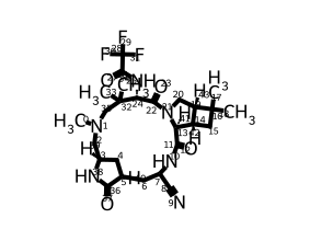 CN1C[C@@H]2C[C@@H](CC(C#N)NC(=O)[C@@H]3[C@H]4CC(C)(C)[C@H]4CN3C(=O)[C@@H](NC(=O)C(F)(F)F)C(C)(C)C1)C(=O)N2